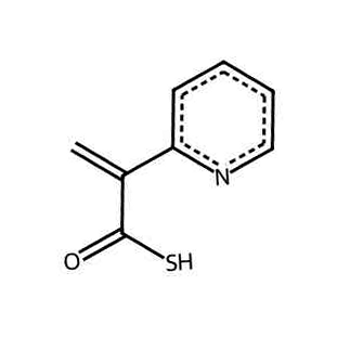 C=C(C(=O)S)c1ccccn1